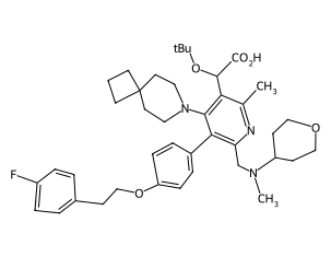 Cc1nc(CN(C)C2CCOCC2)c(-c2ccc(OCCc3ccc(F)cc3)cc2)c(N2CCC3(CCC3)CC2)c1C(OC(C)(C)C)C(=O)O